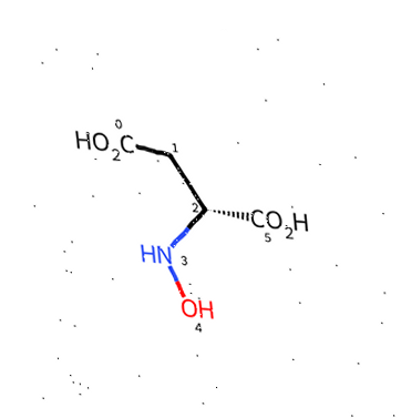 O=C(O)C[C@@H](NO)C(=O)O